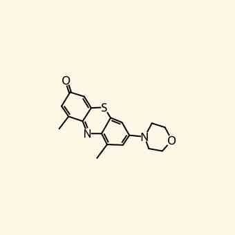 Cc1cc(=O)cc2sc3cc(N4CCOCC4)cc(C)c3nc1-2